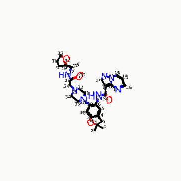 CC1(C)Cc2cc(NC(=O)c3cnn4cccnc34)c(N3CCN(CC(=O)NCC4CCCO4)CC3)cc2O1